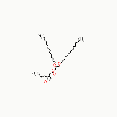 CC/C=C\CC1C(=O)CCC1CC(=O)OCC(COCCCCCCCCCCCCCC)OCCCCCCCCCCCCCC